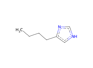 CCCCc1c[nH]cn1